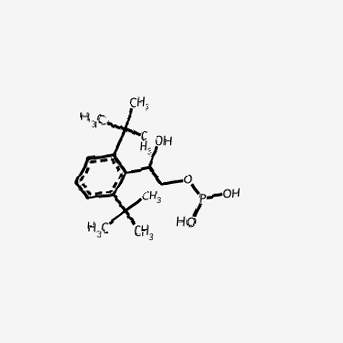 CC(C)(C)c1cccc(C(C)(C)C)c1C(O)COP(O)O